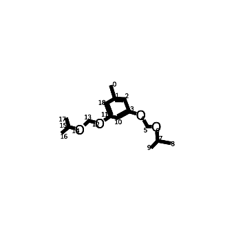 Cc1cc(OCOC(C)C)cc(OCOC(C)C)c1